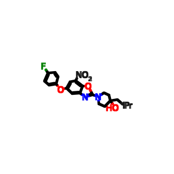 CC(C)CC1(O)CCN(c2nc3cc(Oc4ccc(F)cc4)cc([N+](=O)[O-])c3o2)CC1